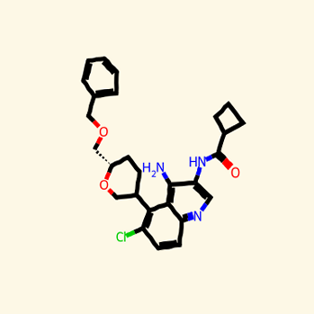 Nc1c(NC(=O)C2CCC2)cnc2ccc(Cl)c(C3CC[C@@H](COCc4ccccc4)OC3)c12